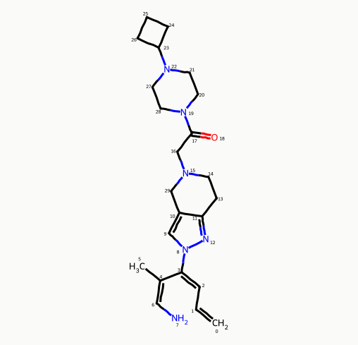 C=C/C=C(\C(C)=C/N)n1cc2c(n1)CCN(CC(=O)N1CCN(C3CCC3)CC1)C2